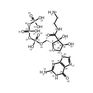 NCCNC(=O)[C@@]1(O)[C@@H](COP(=O)(O)OP(=O)(O)OP(=O)(O)O)O[C@@H](n2cnc3c(=O)[nH]c(N)nc32)[C@@H]1O